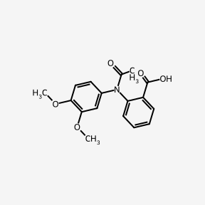 COc1ccc(N(C(C)=O)c2ccccc2C(=O)O)cc1OC